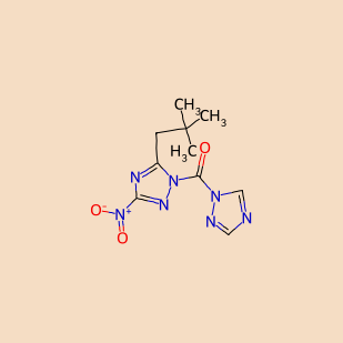 CC(C)(C)Cc1nc([N+](=O)[O-])nn1C(=O)n1cncn1